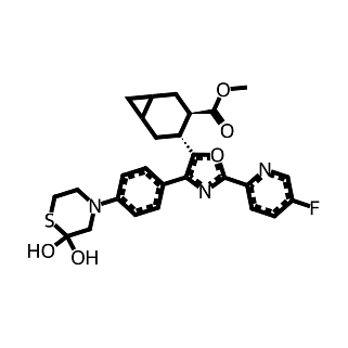 COC(=O)[C@@H]1CC2CC2C[C@H]1c1oc(-c2ccc(F)cn2)nc1-c1ccc(N2CCSC(O)(O)C2)cc1